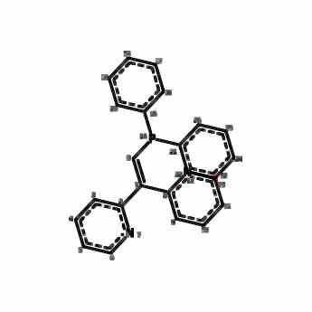 C(=C(c1ccccn1)c1ccccn1)P(c1ccccc1)c1ccccc1